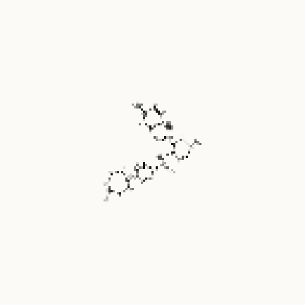 CC(=O)c1ccc(NC(=O)c2ccc(N3CCCN(C)CC3)nn2)c(C(=O)Nc2ccc(Cl)cn2)c1